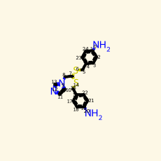 Nc1ccc(CSC(Cn2ccnc2)SCc2ccc(N)cc2)cc1